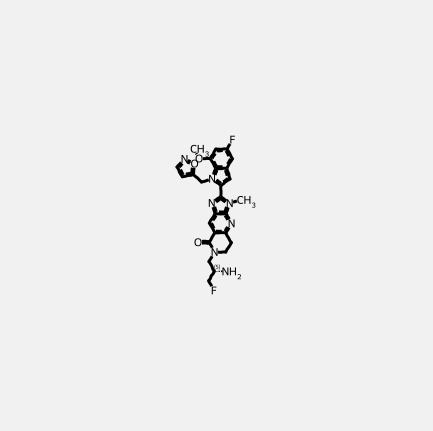 COc1cc(F)cc2cc(-c3nc4cc5c(nc4n3C)CCN(C[C@H](N)CF)C5=O)n(Cc3ccno3)c12